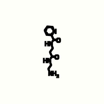 NCCNC(=O)CCNC(=O)c1ccccn1